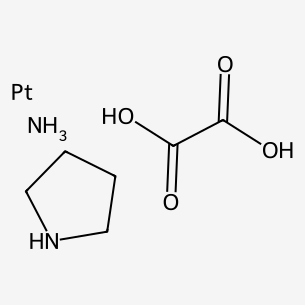 C1CCNC1.N.O=C(O)C(=O)O.[Pt]